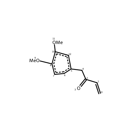 C=CC(=O)Cc1ccc(OC)c(OC)c1